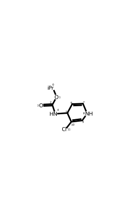 CC(C)OC(=O)N[C]1C=CNC=C1Cl